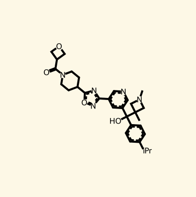 CC(C)c1ccc(C(O)(c2cncc(-c3noc(C4CCN(C(=O)C5COC5)CC4)n3)c2)C2(C)CN(C)C2)cc1